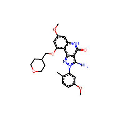 COc1ccc(C)c(-n2nc3c(c2N)c(=O)[nH]c2cc(OC)cc(OCC4CCOCC4)c23)c1